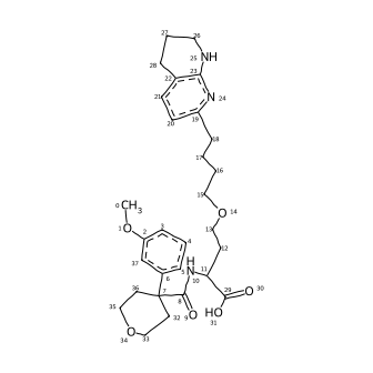 COc1cccc(C2(C(=O)NC(CCOCCCCc3ccc4c(n3)NCCC4)C(=O)O)CCOCC2)c1